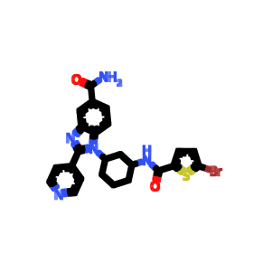 NC(=O)c1ccc2c(c1)nc(-c1ccncc1)n2C1CCCC(NC(=O)c2ccc(Br)s2)C1